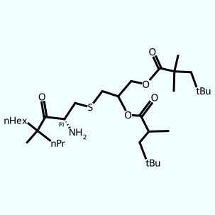 CCCCCCC(C)(CCC)C(=O)[C@@H](N)CSCC(COC(=O)C(C)(C)CC(C)(C)C)OC(=O)C(C)CC(C)(C)C